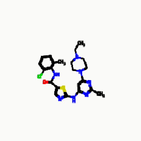 CCN1CCN(c2cc(Nc3ncc(C(=O)Nc4c(C)cccc4Cl)s3)nc(C)n2)CC1